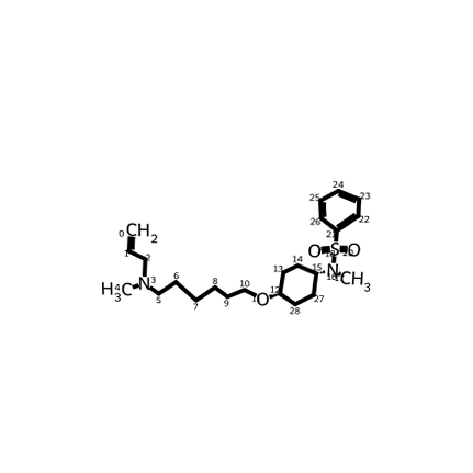 C=CCN(C)CCCCCCO[C@H]1CC[C@H](N(C)S(=O)(=O)c2ccccc2)CC1